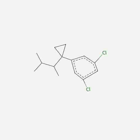 CC(C)C(C)C1(c2cc(Cl)cc(Cl)c2)CC1